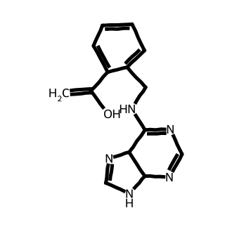 C=C(O)c1ccccc1CNC1=NC=NC2NC=NC12